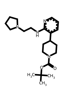 CC(C)(C)OC(=O)N1CCC(c2cccnc2NCCN2CCCC2)CC1